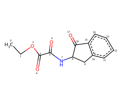 CCOC(=O)C(=O)NC1Cc2ccccc2C1=O